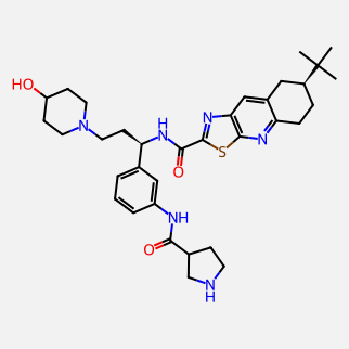 CC(C)(C)[C@H]1CCc2nc3sc(C(=O)N[C@H](CCN4CCC(O)CC4)c4cccc(NC(=O)C5CCNC5)c4)nc3cc2C1